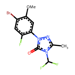 COc1cc(-n2nc(C)n(C(F)F)c2=O)c(F)cc1Br